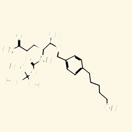 C[C@@H](OCc1ccc(CCCCCO)cc1)[C@H](CCC(N)=O)NC(=O)OC(C)(C)C